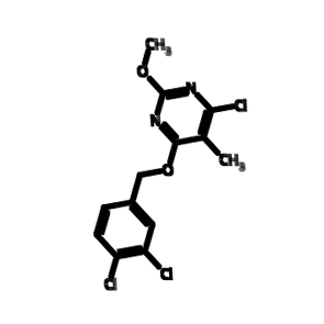 COc1nc(Cl)c(C)c(OCc2ccc(Cl)c(Cl)c2)n1